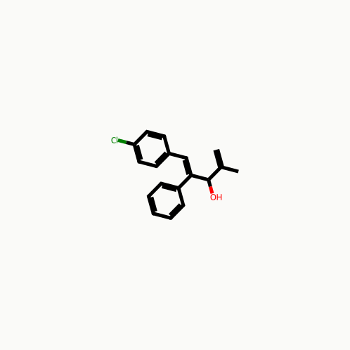 C=C(C)C(O)/C(=C/c1ccc(Cl)cc1)c1ccccc1